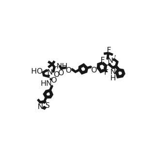 Cc1ncsc1-c1ccc(CNC(=O)[C@@H]2C[C@@H](O)CN2C(=O)[C@@H](NC(=O)COCCc2ccc(COc3cc(F)c([C@@H]4c5[nH]c6ccccc6c5C[C@@H](C)N4CC(C)(C)F)c(F)c3)cc2)C(C)(C)C)cc1